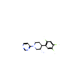 N[C@H]1CN(c2ccncn2)CCC1c1cc(F)c(F)cc1F